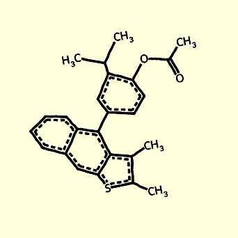 CC(=O)Oc1ccc(-c2c3ccccc3cc3sc(C)c(C)c23)cc1C(C)C